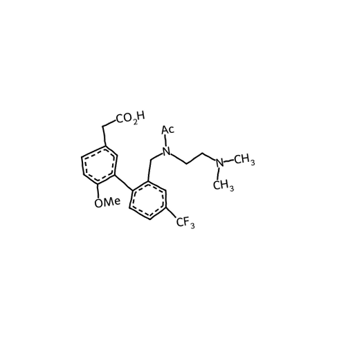 COc1ccc(CC(=O)O)cc1-c1ccc(C(F)(F)F)cc1CN(CCN(C)C)C(C)=O